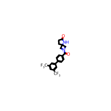 O=C1CCC2(CN(C(=O)c3ccc(-c4cc(C(F)(F)F)cc(C(F)(F)F)c4)cc3)C2)N1